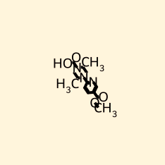 COC(=O)c1ccc(N2CC(C)N(C(=O)O)CC2C)nc1